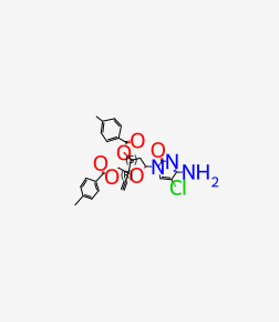 C#C[C@]1(COC(=O)c2ccc(C)cc2)OC(n2cc(Cl)c(N)nc2=O)C[C@@H]1OC(=O)c1ccc(C)cc1